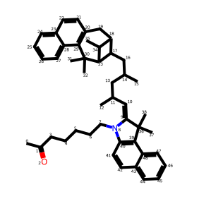 CC(=O)CCCCCN1/C(=C\C(C)CC(C)CC2C3Cc4ccc5ccccc5c4C(C)(C)C2C3C)C(C)(C)c2c1ccc1ccccc21